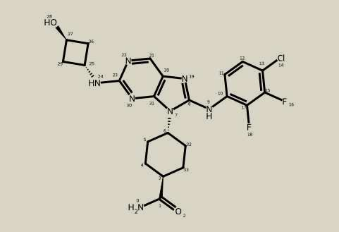 NC(=O)[C@H]1CC[C@H](n2c(Nc3ccc(Cl)c(F)c3F)nc3cnc(N[C@H]4C[C@H](O)C4)nc32)CC1